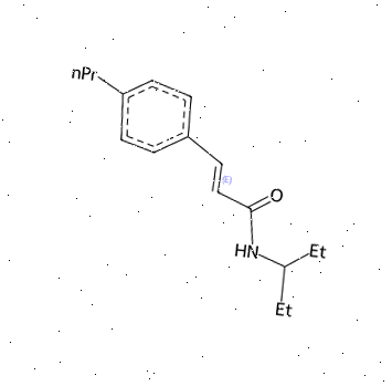 CCCc1ccc(/C=C/C(=O)NC(CC)CC)cc1